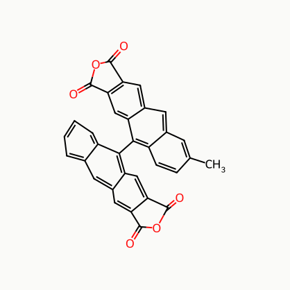 Cc1ccc2c(-c3c4ccccc4cc4cc5c(cc34)C(=O)OC5=O)c3cc4c(cc3cc2c1)C(=O)OC4=O